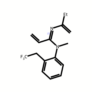 C=C/C(=N/C(=C)CC)N(C)c1ccccc1CC(F)(F)F